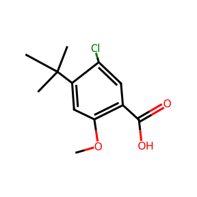 COc1cc(C(C)(C)C)c(Cl)cc1C(=O)O